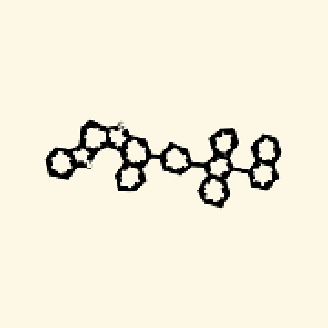 c1ccc2c(-c3c4ccccc4c(-c4ccc(-c5cc6sc7ccc8c9ccccc9oc8c7c6c6ccccc56)cc4)c4ccccc34)cccc2c1